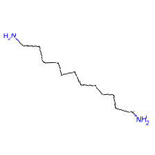 N[CH]CCCCCCCCCCCN